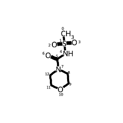 CS(=O)(=O)NC(=O)N1CCOCC1